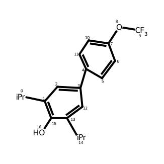 CC(C)c1cc(-c2ccc(OC(F)(F)F)cc2)cc(C(C)C)c1O